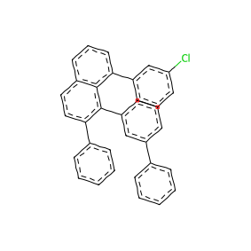 Clc1cccc(-c2cccc3ccc(-c4ccccc4)c(-c4cccc(-c5ccccc5)c4)c23)c1